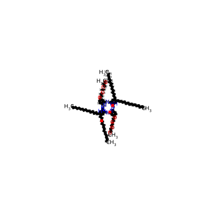 CCCCCCCCCCCCCCCCc1cc2c3nc4nc(nc5[nH]c(nc6nc(nc([nH]3)c2cc1CCCCCCCCCCCCCCCC)-c1cc(OCCOCCOCCOC)ccc1-6)c1cc(CCCCCCCCCCCCCCCC)c(CCCCCCCCCCCCCCCC)cc51)-c1cc(OCCOCCOCCOC)ccc1-4